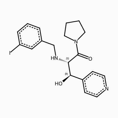 O=C([C@@H](NCc1cccc(I)c1)[C@H](O)c1ccncc1)N1CCCC1